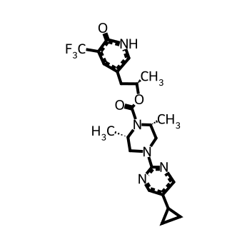 C[C@@H]1CN(c2ncc(C3CC3)cn2)C[C@H](C)N1C(=O)O[C@@H](C)Cc1c[nH]c(=O)c(C(F)(F)F)c1